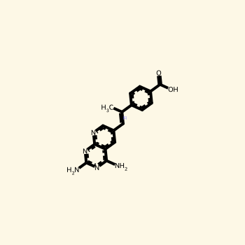 C/C(=C\c1cnc2nc(N)nc(N)c2c1)c1ccc(C(=O)O)cc1